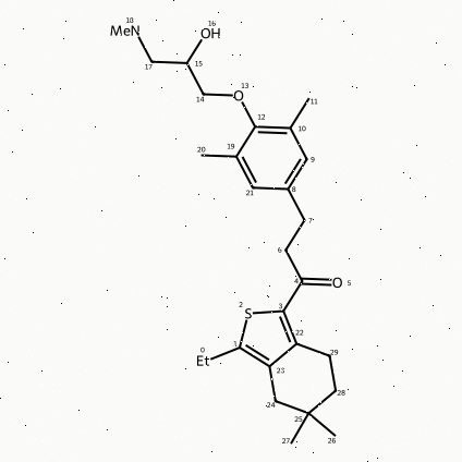 CCc1sc(C(=O)CCc2cc(C)c(OCC(O)CNC)c(C)c2)c2c1CC(C)(C)CC2